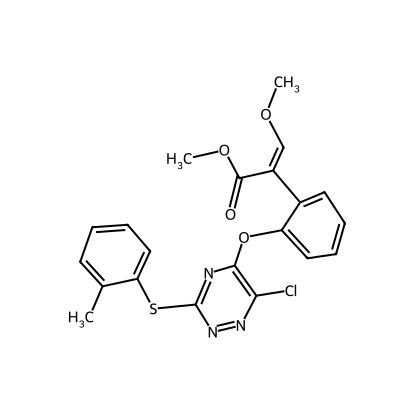 COC=C(C(=O)OC)c1ccccc1Oc1nc(Sc2ccccc2C)nnc1Cl